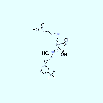 O=C(O)CCC/C=C\C[C@@H]1[C@@H](/C=C/[C@H](O)COc2cccc(C(F)(F)F)c2)[C@H](O)C[C@@H]1O